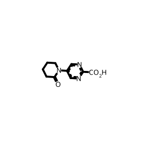 O=C(O)c1ncc(N2CCCCC2=O)cn1